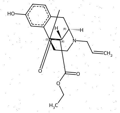 C=CCN1CC[C@]23CC(=O)C(C(=O)OCC)C[C@H]2[C@H]1Cc1ccc(O)cc13